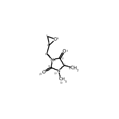 CC1C(=O)N(CC2CO2)C(=O)N1C